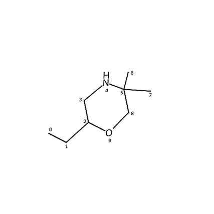 CCC1CNC(C)(C)CO1